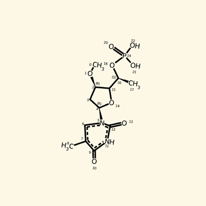 CO[C@@H]1C[C@H](n2cc(C)c(=O)[nH]c2=O)OC1[C@H](C)OP(=O)(O)O